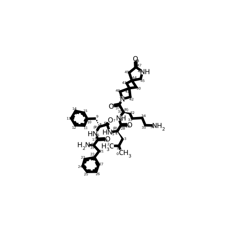 CC(C)C[C@@H](NC(=O)[C@@H](Cc1ccccc1)NC(=O)[C@H](N)Cc1ccccc1)C(=O)N[C@H](CCCCN)C(=O)N1CC2(C1)CC1(CNC(=O)C1)C2